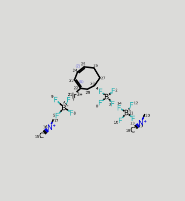 F[B-](F)(F)F.F[B-](F)(F)F.F[B-](F)(F)F.[C-]#[N+]C.[C-]#[N+]C.[Ir+3]/[C]1=C/C=C\CCCC1